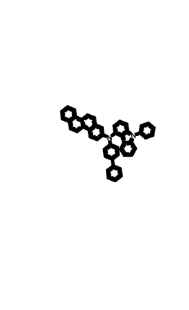 c1ccc(-c2ccc(N(c3ccc4c(ccc5c6ccccc6ccc45)c3)c3cccc4c3c3ccccc3n4-c3ccccc3)cc2)cc1